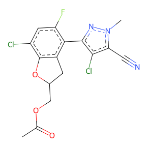 CC(=O)OCC1Cc2c(c(Cl)cc(F)c2-c2nn(C)c(C#N)c2Cl)O1